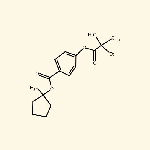 CCC(C)(C)C(=O)Oc1ccc(C(=O)OC2(C)CCCC2)cc1